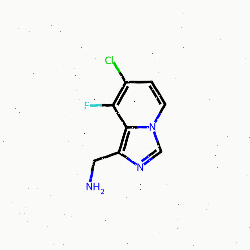 NCc1ncn2ccc(Cl)c(F)c12